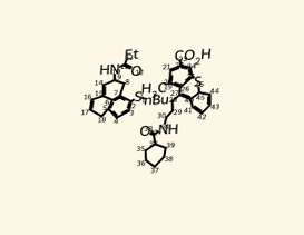 CCCCSc1ccc2c3c1CC(NC(=O)CC)C=C3C=CC2.Cc1cc(C(=O)O)cc2c1C(CCCNC(=O)C1CCCCC1)=C1C=CC=CC1S2